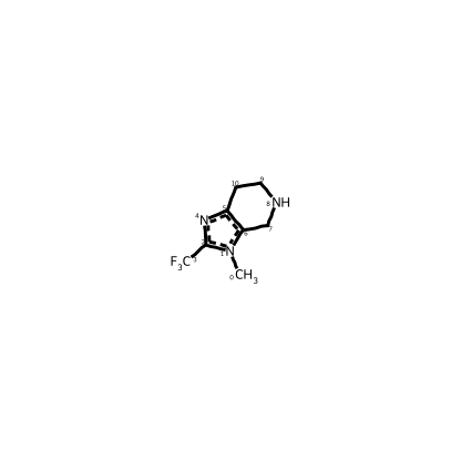 Cn1c(C(F)(F)F)nc2c1CNCC2